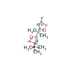 CC(C)(C1=N[C@@H](I)CO1)C1=N[C@@H](C(C)(C)C)CO1